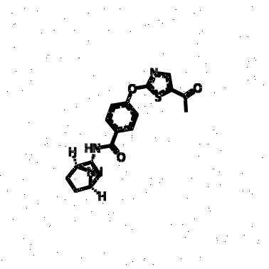 CC(=O)c1cnc(Oc2ccc(C(=O)N[C@@H]3C[C@H]4CC[C@@H]3N4)cc2)s1